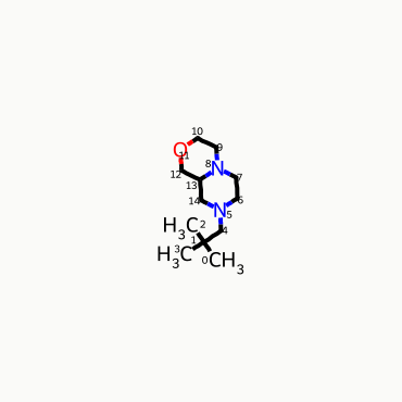 CC(C)(C)CN1CCN2CCOCC2C1